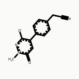 Cn1nc(Cl)c(-c2ccc(CC#N)cc2)cc1=O